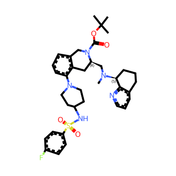 CN(C[C@H]1Cc2c(cccc2N2CCC(NS(=O)(=O)c3ccc(F)cc3)CC2)CN1C(=O)OC(C)(C)C)[C@H]1CCCc2cccnc21